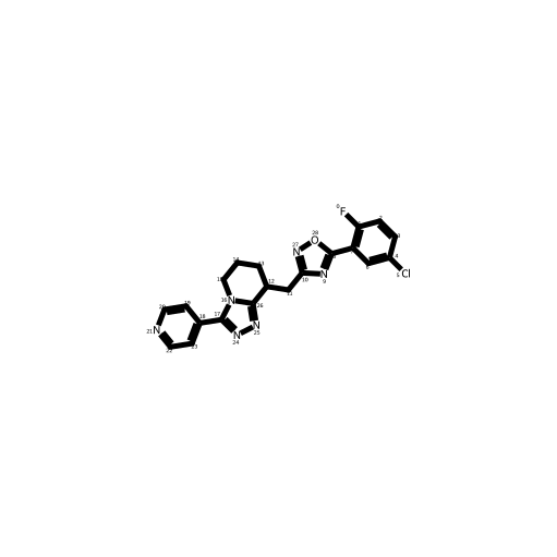 Fc1ccc(Cl)cc1-c1nc(CC2CCCn3c(-c4ccncc4)nnc32)no1